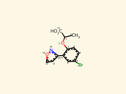 CC(Oc1ccc(Br)cc1-c1ccon1)C(=O)O